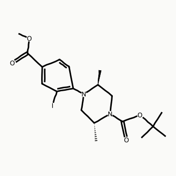 COC(=O)c1ccc(N2C[C@@H](C)N(C(=O)OC(C)(C)C)C[C@@H]2C)c(I)c1